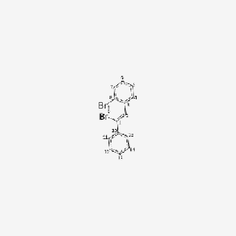 BrC(=Cc1ccccc1Br)c1ccccc1